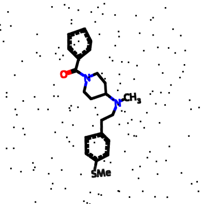 CSc1ccc(CCN(C)C2CCN(C(=O)c3ccccc3)CC2)cc1